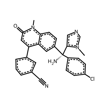 Cn1cncc1[C@@](N)(c1ccc(Cl)cc1)c1ccc2c(c1)c(-c1cccc(C#N)c1)cc(=O)n2C